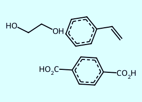 C=Cc1ccccc1.O=C(O)c1ccc(C(=O)O)cc1.OCCO